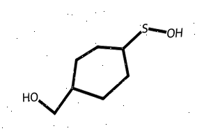 OCC1CCC(SO)CC1